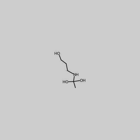 CC(O)(O)N[CH]CCO